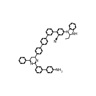 CCC1Nc2ccccc2N1c1ccc(-c2cccc(-c3ccc(-c4ccc(C5CC(c6ccccc6)=NC(c6cccc(-c7ccc(N)cc7)c6)=N5)cc4)cc3)c2)c(C#N)c1